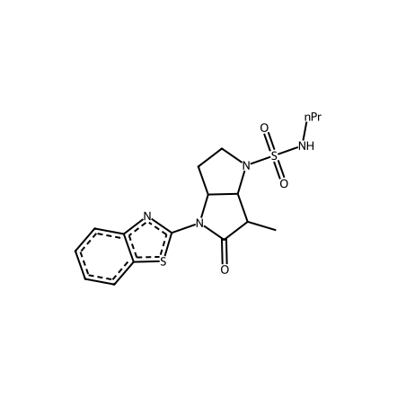 CCCNS(=O)(=O)N1CCC2C1C(C)C(=O)N2c1nc2ccccc2s1